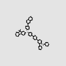 CC1(C)c2ccccc2-c2ccc(N(c3ccc(-c4ccc(-c5ccc6c(c5)c5ccccc5n6-c5ccccc5)cc4)cc3)c3ccc(-c4ccc5ccccc5c4)cc3)cc21